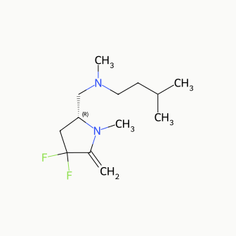 C=C1N(C)[C@@H](CN(C)CCC(C)C)CC1(F)F